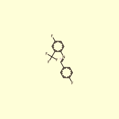 Fc1ccc(/C=N/c2ccc(F)cc2C(F)(F)F)cc1